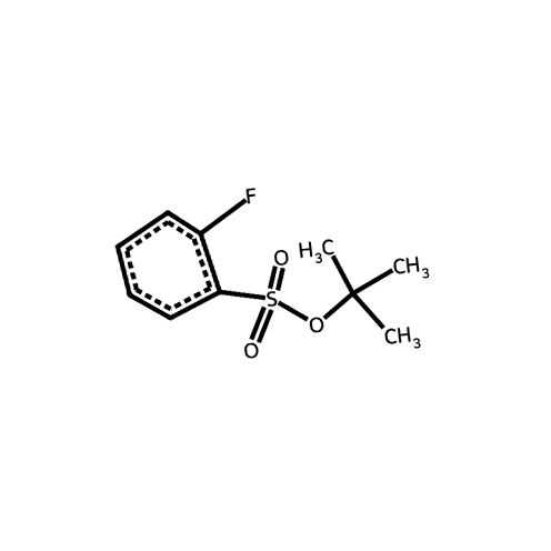 CC(C)(C)OS(=O)(=O)c1ccccc1F